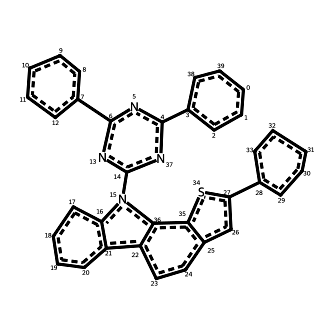 c1ccc(-c2nc(-c3ccccc3)nc(-n3c4ccccc4c4ccc5cc(-c6ccccc6)sc5c43)n2)cc1